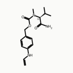 C=CNc1ccc(COC(=O)N(C)[C@H](C(N)=O)C(C)C)cc1